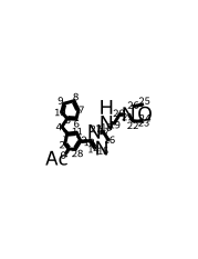 CC(=O)c1cc(Cc2ccccc2)cc(-c2cncc(NCCN3CCOCC3)n2)c1